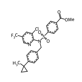 COC(=O)c1ccc(S(=O)(=O)N(Cc2ccc(C3(C)CC3)cc2)c2ncc(C(F)(F)F)cc2Cl)cc1